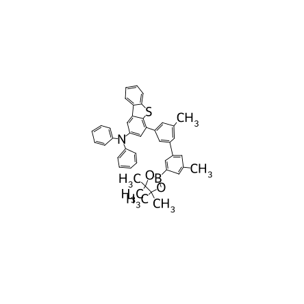 Cc1cc(B2OC(C)(C)C(C)(C)O2)cc(-c2cc(C)cc(-c3cc(N(c4ccccc4)c4ccccc4)cc4c3sc3ccccc34)c2)c1